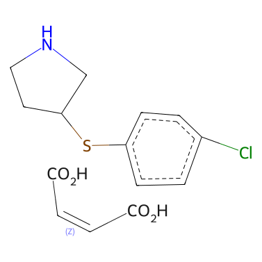 Clc1ccc(SC2CCNC2)cc1.O=C(O)/C=C\C(=O)O